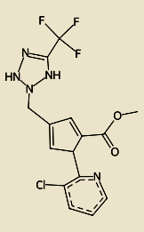 COC(=O)C1=CC(CN2NN=C(C(F)(F)F)N2)=CC1c1ncccc1Cl